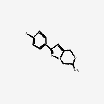 CC1Cn2nc(-c3ccc(F)cc3)cc2CO1